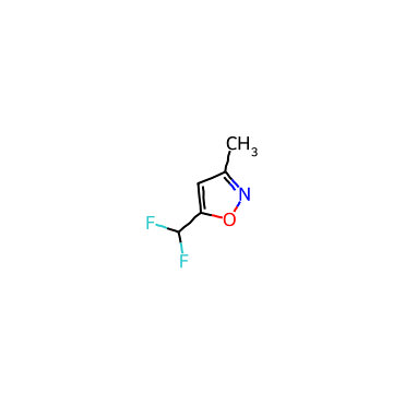 Cc1cc(C(F)F)on1